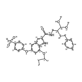 CCC(C)Oc1cc(Oc2ccc(S(C)(=O)=O)cc2)cc2cc(C(=O)NCC(SCc3ccccc3)C(OC)OC)[nH]c12